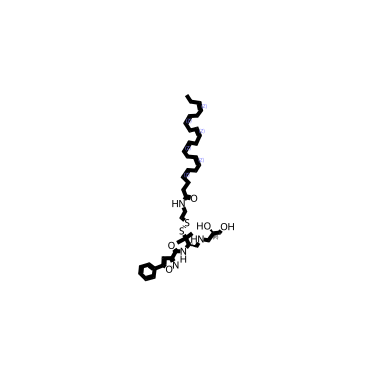 CC/C=C\C/C=C\C/C=C\C/C=C\C/C=C\C/C=C\CCC(=O)NCCSSC(C)(C)[C@@H](CNC[C@@H](O)CO)NC(=O)c1cc(-c2ccccc2)on1